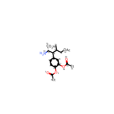 CCC(=O)Oc1ccc(C(C(C)COC(C)=O)[C@H](N)C(=O)O)cc1OC(=O)CC